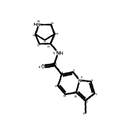 Cc1ccn2cc(C(=O)NC3CC4CC3CN4)ccc12